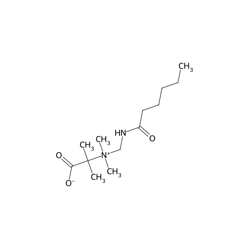 CCCCCC(=O)NC[N+](C)(C)C(C)(C)C(=O)[O-]